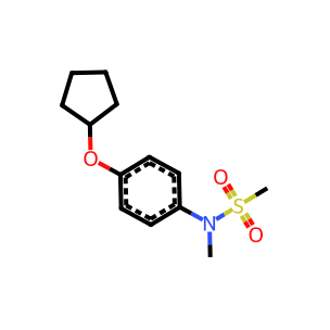 CN(c1ccc(OC2CCCC2)cc1)S(C)(=O)=O